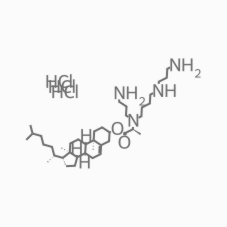 CC(C)CCC[C@@H](C)[C@H]1CC[C@H]2[C@@H]3CC=C4C[C@@H](OC(=O)[C@H](C)N(CCCN)CCCCNCCCN)CC[C@]4(C)[C@H]3CC[C@]12C.Cl.Cl.Cl